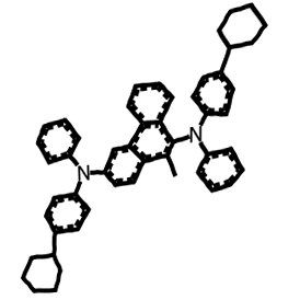 Cc1c(N(c2ccccc2)c2ccc(C3CCCCC3)cc2)c2ccccc2c2cc(N(c3ccccc3)c3ccc(C4CCCCC4)cc3)ccc12